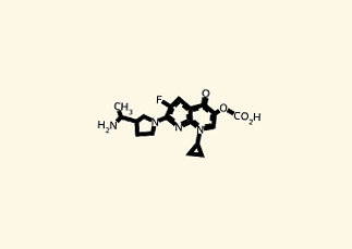 CC(N)C1CCN(c2nc3c(cc2F)c(=O)c(OC(=O)O)cn3C2CC2)C1